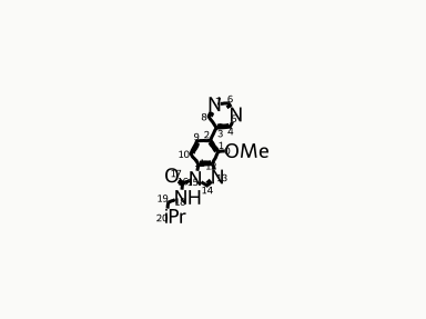 COc1c(-c2cncnc2)ccc2c1ncn2C(=O)NCC(C)C